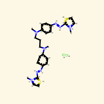 CN(CCCN(C)c1ccc(N=Nc2scc[n+]2C)cc1)c1ccc(N=Nc2scc[n+]2C)cc1.[Cl-].[Cl-]